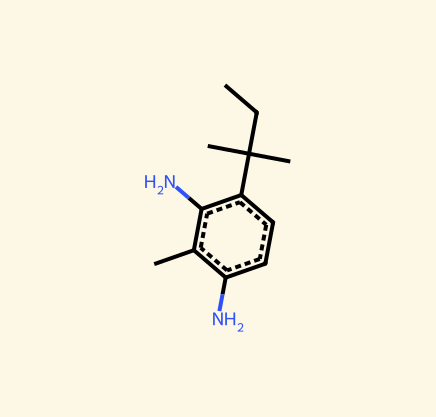 CCC(C)(C)c1ccc(N)c(C)c1N